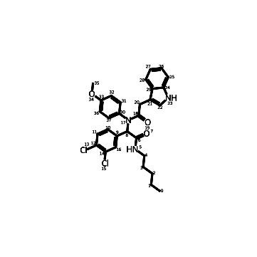 CCCCCNC(=O)C(c1ccc(Cl)c(Cl)c1)N(C(=O)Cc1c[nH]c2ccccc12)c1ccc(OC)cc1